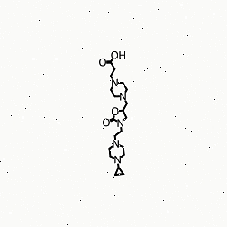 O=C(O)CCN1CCN(CC2CN(CCN3CCN(C4CC4)CC3)C(=O)O2)CC1